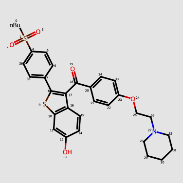 CCCCS(=O)(=O)c1ccc(-c2sc3cc(O)ccc3c2C(=O)c2ccc(OCCN3CCCCC3)cc2)cc1